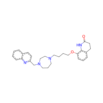 O=C1CCc2cccc(OCCCCN3CCCN(Cc4ccc5ccccc5n4)CC3)c2N1